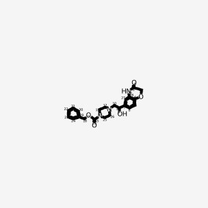 O=C1COc2ccc(C(O)CN3CCN(C(=O)OCc4ccccc4)CC3)cc2N1